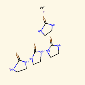 S=C1NCCN1.S=C1NCCN1.S=C1NCCN1.S=C1NCCN1.[I-].[I-].[Pt+2]